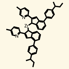 CCC(C)c1ccc(-c2cccc3c2C=C(c2ccc(C)cn2)[CH]3[Zr][CH]2C(c3ccc(C)cn3)=Cc3c(-c4ccc(C(C)CC)cc4)cccc32)cc1